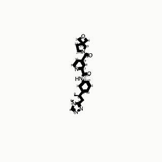 C[C@H](Cc1nncn1C)c1cccc(NC(=O)c2cc(C(=O)N3CCC4(COC4)C3)ccn2)c1